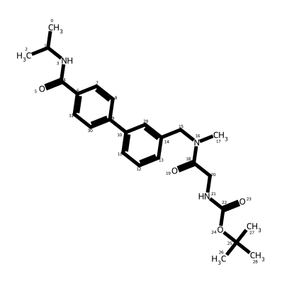 CC(C)NC(=O)c1ccc(-c2cccc(CN(C)C(=O)CNC(=O)OC(C)(C)C)c2)cc1